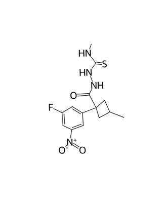 CNC(=S)NNC(=O)C1(c2cc(F)cc([N+](=O)[O-])c2)CC(C)C1